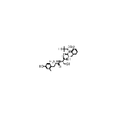 Cc1cc(O)ccc1C[C@@H](N)C(=O)N[C@H](CS)C(=O)N[C@@H](Cc1ccccc1)C(=O)N[C@@H](C(=O)O)C(C)(C)S